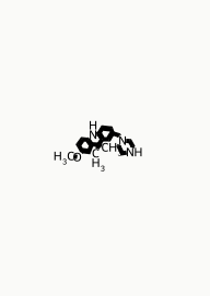 COc1ccc2c(c1)C(C)(C)c1cc(CN3CCNCC3)ccc1N2